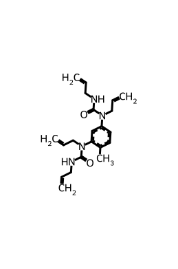 C=CCNC(=O)N(CC=C)c1ccc(C)c(N(CC=C)C(=O)NCC=C)c1